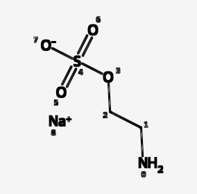 NCCOS(=O)(=O)[O-].[Na+]